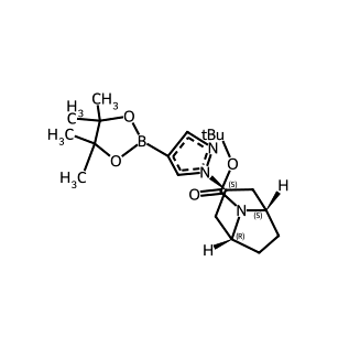 CC(C)(C)OC(=O)N1[C@@H]2CC[C@H]1C[C@H](n1cc(B3OC(C)(C)C(C)(C)O3)cn1)C2